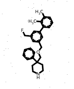 Cc1cccc(-c2cc(CF)cc(COCC3(c4ccccc4)CCNCC3)c2)c1C